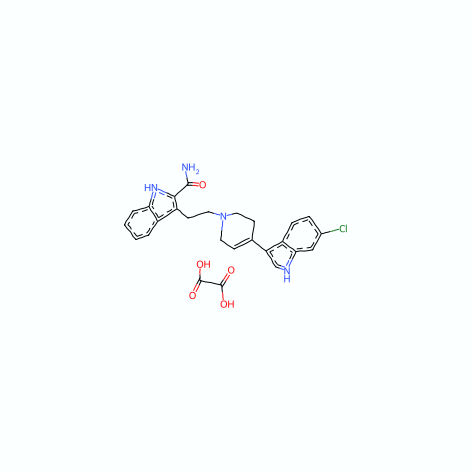 NC(=O)c1[nH]c2ccccc2c1CCN1CC=C(c2c[nH]c3cc(Cl)ccc23)CC1.O=C(O)C(=O)O